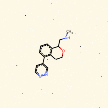 CNCC1OCCc2c(-c3ccnnc3)cccc21